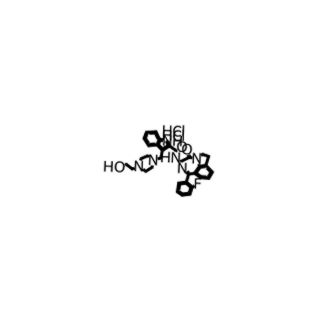 Cl.Cl.O=C(N[C@H]1N=C(c2ccccc2F)c2cccc3c2N(CC3)C1=O)c1[nH]c2ccccc2c1CN1CCN(CCO)CC1